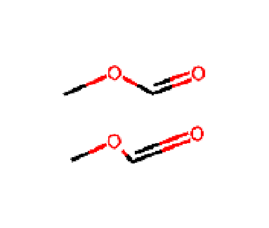 COC=O.COC=O